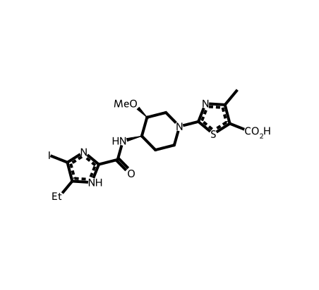 CCc1[nH]c(C(=O)N[C@@H]2CCN(c3nc(C)c(C(=O)O)s3)C[C@@H]2OC)nc1I